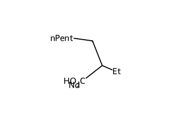 CCCCCCC(CC)C(=O)O.[Nd]